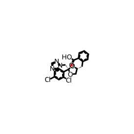 O=C(O)c1ccccc1C[C@@H]1CO[C@@](Cn2cncn2)(c2ccc(Cl)cc2Cl)O1